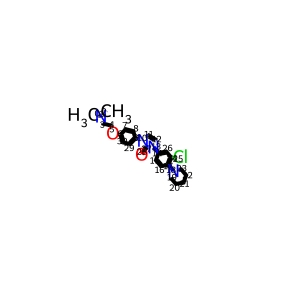 CN(C)CCOc1ccc(-n2ccn(-c3ccc(N4CCCCC4)c(Cl)c3)c2=O)cc1